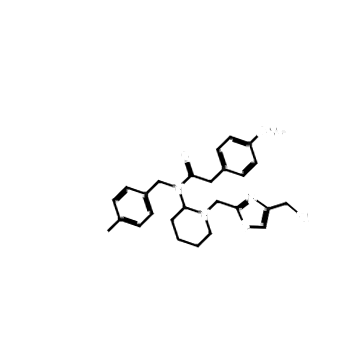 COc1ccc(CC(=O)N(Cc2ccc(C)cc2)C2CCCCN2Cc2nc(CCl)cs2)cc1